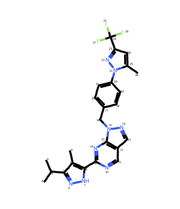 Cc1c(C(C)C)n[nH]c1-c1ncc2cnn(Cc3ccc(-n4nc(C(F)(F)F)cc4C)cc3)c2n1